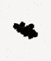 CC1(C2(C)c3ccccc3-c3c2cc(N(c2ccccc2)c2cccc4c2oc2ccccc24)c2ccccc32)c2ccccc2-c2c1cc(N(c1ccccc1)c1cccc3c1oc1ccccc13)c1ccccc21